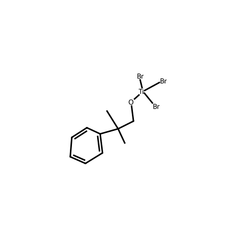 CC(C)(C[O][Ti]([Br])([Br])[Br])c1ccccc1